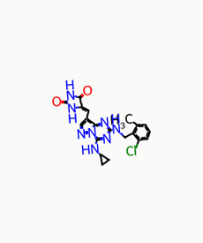 Cc1cccc(Cl)c1CNc1nc(NC2CC2)n2ncc(/C=C3\NC(=O)NC3=O)c2n1